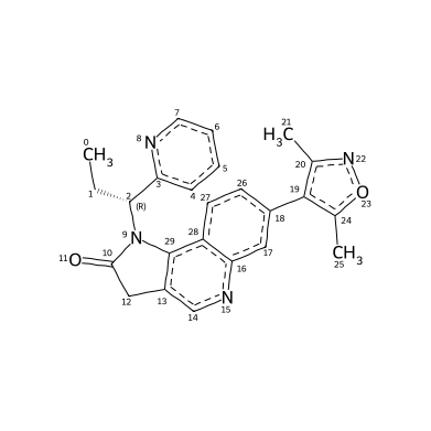 CC[C@H](c1ccccn1)N1C(=O)Cc2cnc3cc(-c4c(C)noc4C)ccc3c21